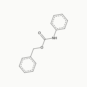 O=C(Nc1ccccc1)OCc1ccccc1